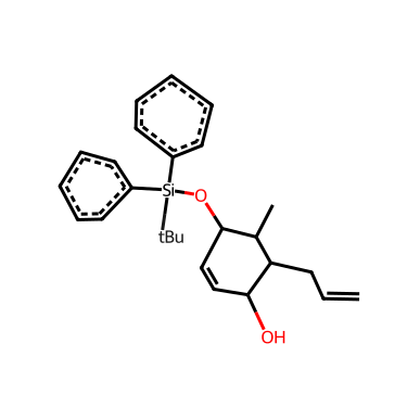 C=CCC1C(O)C=CC(O[Si](c2ccccc2)(c2ccccc2)C(C)(C)C)C1C